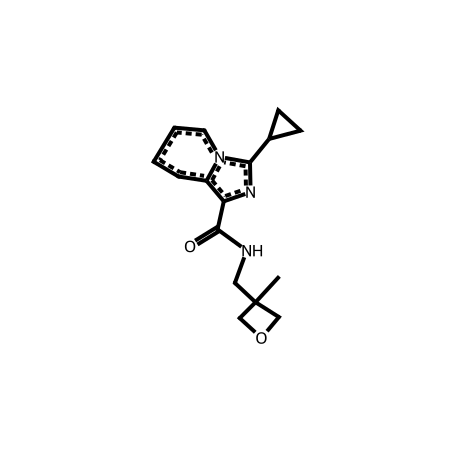 CC1(CNC(=O)c2nc(C3CC3)n3ccccc23)COC1